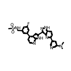 CN(C)c1cncc(-c2ccc3[nH]nc(-c4cc5c(-c6cc(F)cc(CNS(C)(=O)=O)c6)ccnc5[nH]4)c3n2)c1